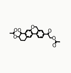 CC(=O)OCC(=O)c1ccc2c(c1)COc1cc3c(cc1-2)CCC(OC(C)=O)C3=O